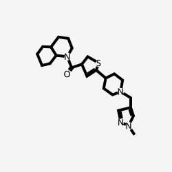 Cn1cc(CN2CCC(C3=CC(C(=O)N4CCCC5CCCCC54)CS3)CC2)cn1